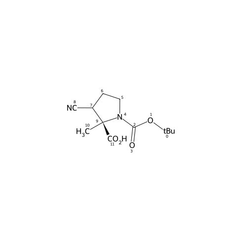 CC(C)(C)OC(=O)N1CCC(C#N)[C@]1(C)C(=O)O